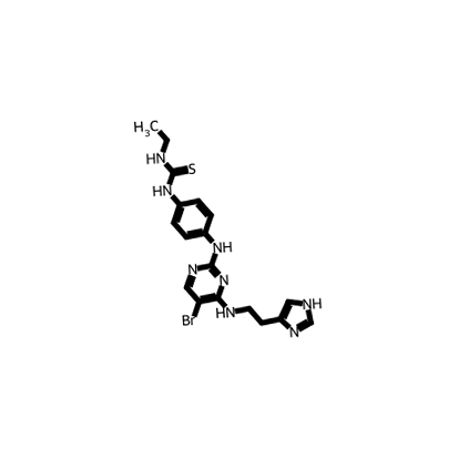 CCNC(=S)Nc1ccc(Nc2ncc(Br)c(NCCc3c[nH]cn3)n2)cc1